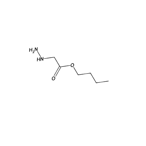 CCCCOC(=O)CNN